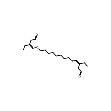 CCC(=COCCCCCCCCOC=C(CC)CC=O)CC=O